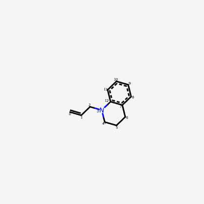 C=CCN1[C]CCc2ccccc21